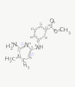 C=N/C(N)=N\C(=C/C)Nc1cccc(C(=O)OC)c1